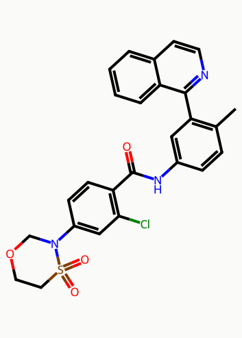 Cc1ccc(NC(=O)c2ccc(N3COCCS3(=O)=O)cc2Cl)cc1-c1nccc2ccccc12